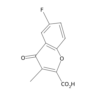 Cc1c(C(=O)O)oc2ccc(F)cc2c1=O